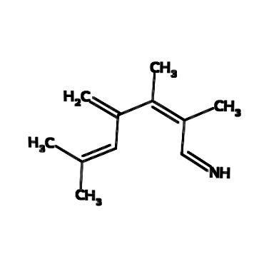 C=C(C=C(C)C)/C(C)=C(/C)C=N